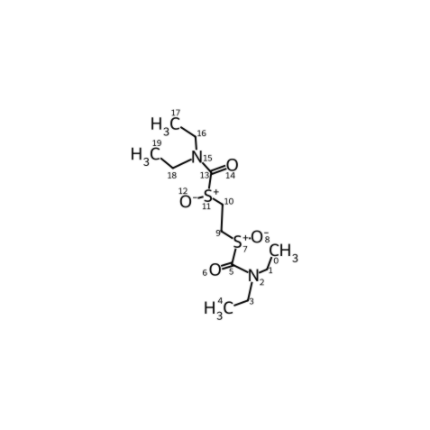 CCN(CC)C(=O)[S+]([O-])CC[S+]([O-])C(=O)N(CC)CC